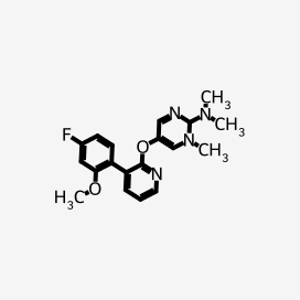 COc1cc(F)ccc1-c1cccnc1OC1=CN(C)C(N(C)C)N=C1